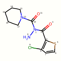 NN(C(=O)c1sccc1Cl)C(=O)N1CCCCC1